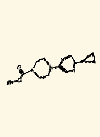 CC(C)(C)OC(=O)N1CCN(c2cnc(C3CC3)cn2)CC1